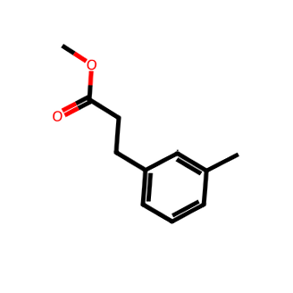 COC(=O)CCc1[c]c(C)ccc1